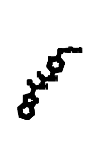 CCCCCOc1ccc(NC(=S)NC(=O)c2cc3ccccc3o2)cn1